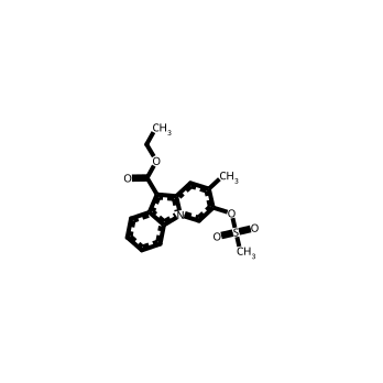 CCOC(=O)c1c2ccccc2n2cc(OS(C)(=O)=O)c(C)cc12